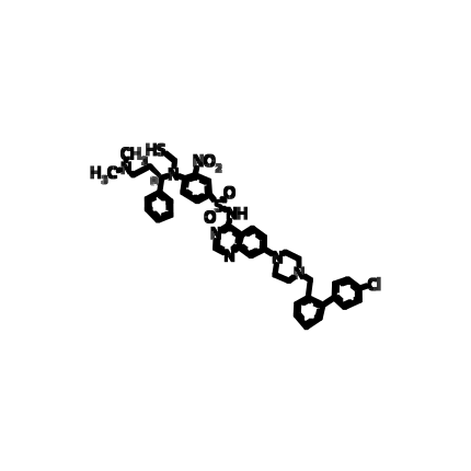 CN(C)CC[C@H](c1ccccc1)N(CS)c1ccc(S(=O)(=O)Nc2ncnc3cc(N4CCN(Cc5ccccc5-c5ccc(Cl)cc5)CC4)ccc23)cc1[N+](=O)[O-]